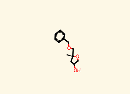 C[C@]1(COCc2ccccc2)CC(O)CO1